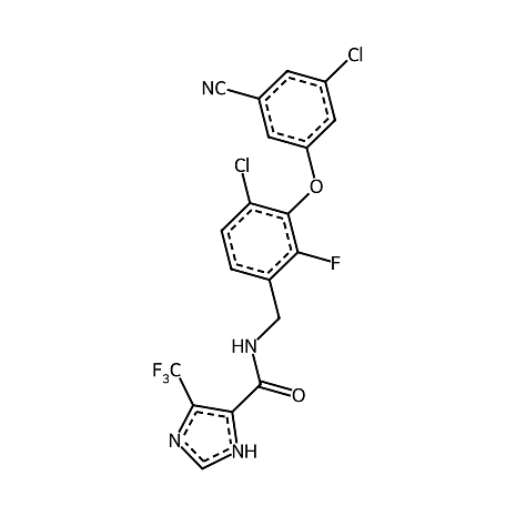 N#Cc1cc(Cl)cc(Oc2c(Cl)ccc(CNC(=O)c3[nH]cnc3C(F)(F)F)c2F)c1